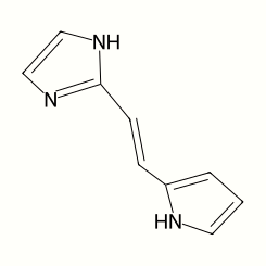 C(=Cc1ncc[nH]1)c1ccc[nH]1